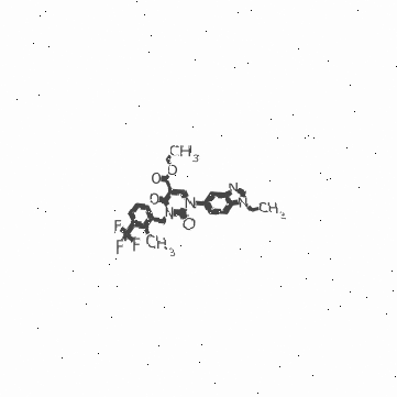 CCOC(=O)c1cn(-c2ccc3c(c2)ncn3CC)c(=O)n(Cc2cccc(C(F)(F)F)c2C)c1=O